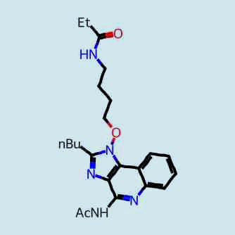 CCCCc1nc2c(NC(C)=O)nc3ccccc3c2n1OCCCCNC(=O)CC